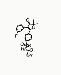 CCCC(=O)NS(=O)(=O)c1ccc(C2=C(c3cccc(F)c3)C(=O)C(C)(C)O2)cc1